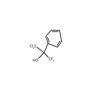 OC(c1ccccc1)(C(F)(F)F)C(Cl)(Cl)Cl